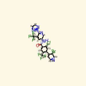 O=C(Nc1cnc(-n2nccn2)c(C(F)(F)F)c1)c1cc(C(F)(F)F)c(-c2ccncc2Br)cc1Cl